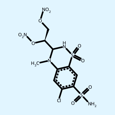 CN1c2cc(Cl)c(S(N)(=O)=O)cc2S(=O)(=O)NC1[C@H](CO[N+](=O)[O-])O[N+](=O)[O-]